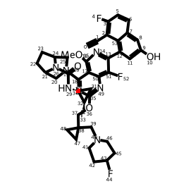 C#Cc1c(F)ccc2cc(O)cc(-c3nc(OC)c4c(N5CC6CCC(C5)N6C(=O)N[C@@H]5C[C@H]5F)nc(OCC5(CN6CCC(F)CC6)CC5)nc4c3F)c12